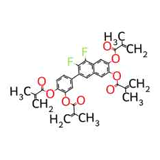 C=C(C)C(=O)Oc1ccc(-c2cc3cc(OC(=O)C(=C)C)c(OC(=O)C(=C)C)cc3c(F)c2F)cc1OC(=O)C(=C)C